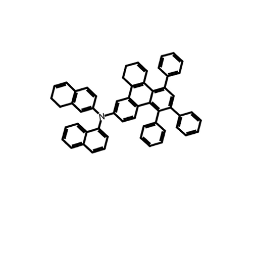 C1=Cc2ccc(N(c3ccc4c(c3)c3c(c5c(-c6ccccc6)cc(-c6ccccc6)c(-c6ccccc6)c54)C=CCC3)c3cccc4ccccc34)cc2CC1